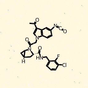 CC(=O)c1cn(CC(=O)N2C3C[C@@H]3C[C@H]2C(=O)NCc2cccc(Cl)c2F)c2ccc(N=C=O)cc12